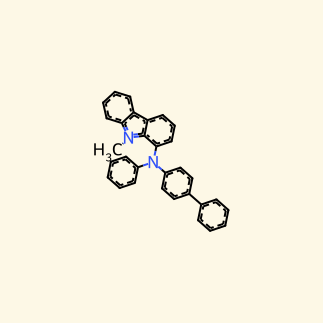 Cn1c2ccccc2c2cccc(N(c3ccccc3)c3ccc(-c4ccccc4)cc3)c21